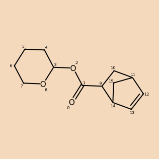 O=C(OC1CCCCO1)C1CC2C=CC1C2